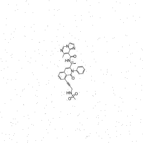 Cc1ncn2ccnc2c1C(=O)N[C@@H](C)c1cc2cccc(C#CCNS(C)(=O)=O)c2c(=O)n1-c1ccccc1